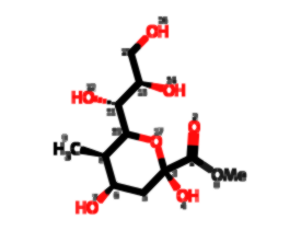 COC(=O)[C@]1(O)C[C@@H](O)[C@@H](C)C([C@H](O)[C@H](O)CO)O1